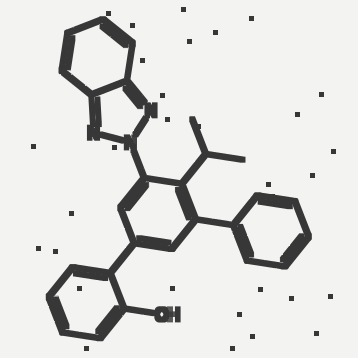 CC(C)c1c(-c2ccccc2)cc(-c2ccccc2O)cc1-n1nc2ccccc2n1